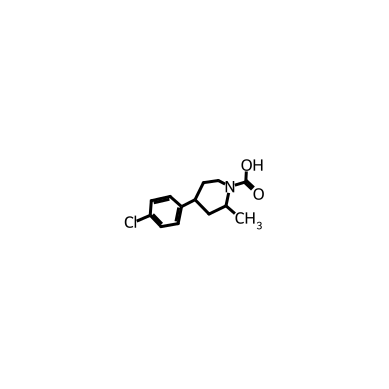 CC1CC(c2ccc(Cl)cc2)CCN1C(=O)O